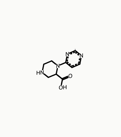 O=C(O)C1CNCCN1c1ccn[c]n1